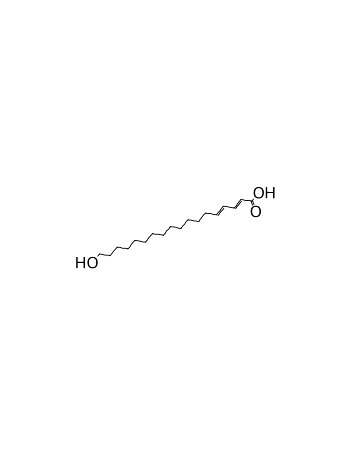 O=C(O)C=CC=CCCCCCCCCCCCCCO